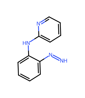 N=Nc1ccccc1Nc1ccccn1